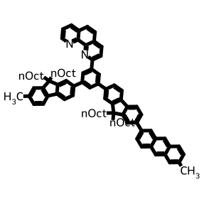 CCCCCCCCC1(CCCCCCCC)c2cc(C)ccc2-c2ccc(-c3cc(-c4ccc5c(c4)C(CCCCCCCC)(CCCCCCCC)c4cc(-c6ccc7cc8cc(C)ccc8cc7c6)ccc4-5)cc(-c4ccc5ccc6cccnc6c5n4)c3)cc21